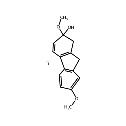 COc1ccc2c(c1)CC1=C2C=CC(O)(OC)C1.[Ti]